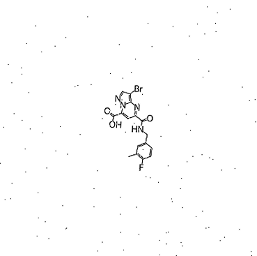 Cc1cc(CNC(=O)c2cc(C(=O)O)n3ncc(Br)c3n2)ccc1F